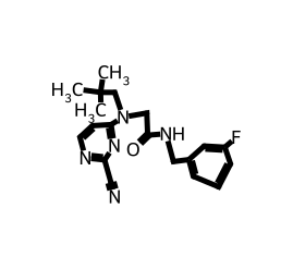 CC(C)(C)CN(CC(=O)NCc1cccc(F)c1)c1ccnc(C#N)n1